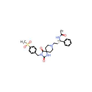 CC(C)C(=O)N[C@@H](CCN1CCC2(CC1)NC(=O)N(Cc1ccc(S(C)(=O)=O)cc1)C2=O)c1ccccc1